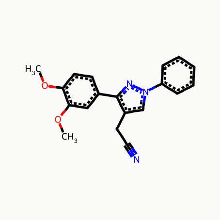 COc1ccc(-c2nn(-c3ccccc3)cc2CC#N)cc1OC